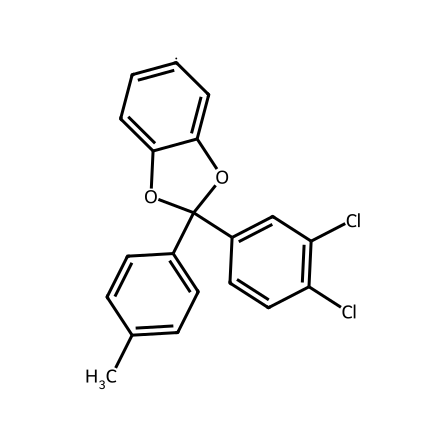 Cc1ccc(C2(c3ccc(Cl)c(Cl)c3)Oc3c[c]ccc3O2)cc1